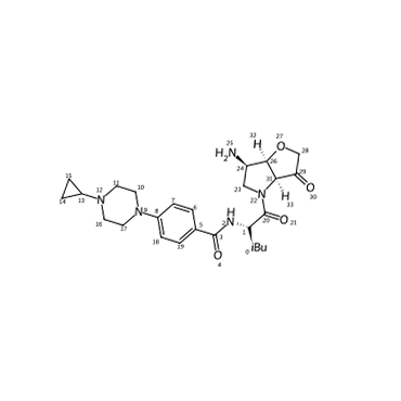 CC[C@H](C)[C@H](NC(=O)c1ccc(N2CCN(C3CC3)CC2)cc1)C(=O)N1C[C@@H](N)[C@H]2OCC(=O)[C@H]21